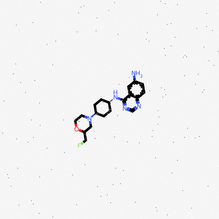 Nc1ccc2ncnc(N[C@H]3CC[C@H](N4CCOC(CF)C4)CC3)c2c1